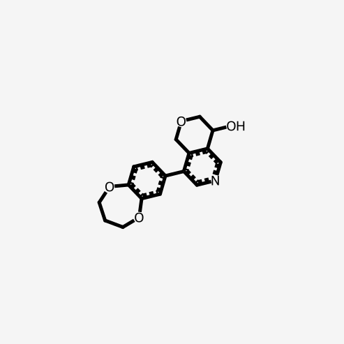 OC1COCc2c(-c3ccc4c(c3)OCCCO4)cncc21